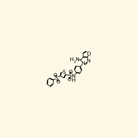 NC1c2ccoc2N=CN1c1ccc(NS(=O)(=O)c2cc(S(=O)(=O)c3ccccc3)cs2)cc1